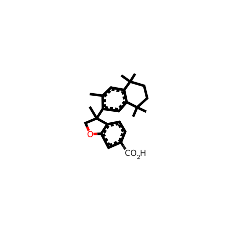 Cc1cc2c(cc1C1(C)COc3cc(C(=O)O)ccc31)C(C)(C)CCC2(C)C